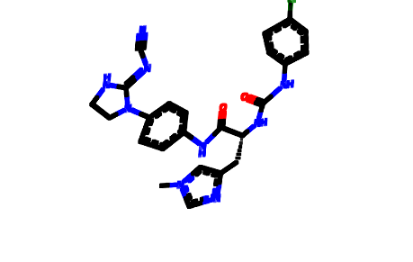 Cn1cnc(C[C@@H](NC(=O)Nc2ccc(Cl)cc2)C(=O)Nc2ccc(N3CCN/C3=N\C#N)cc2)c1